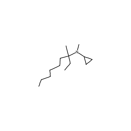 CCCCCCC(C)(CC)N(C)C1CC1